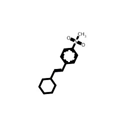 CS(=O)(=O)c1ccc(/C=C/C2CCCCC2)cc1